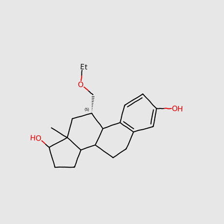 CCOC[C@H]1CC2(C)C(O)CCC2C2CCc3cc(O)ccc3C21